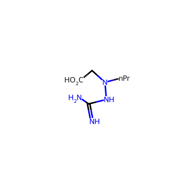 CCCN(CC(=O)O)NC(=N)N